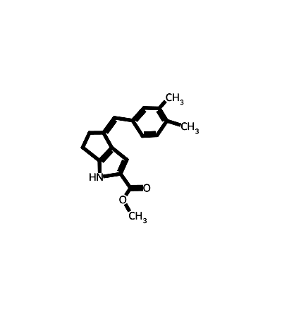 COC(=O)c1cc2c([nH]1)CCC2=Cc1ccc(C)c(C)c1